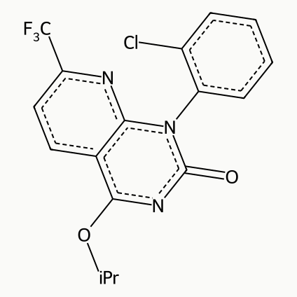 CC(C)Oc1nc(=O)n(-c2ccccc2Cl)c2nc(C(F)(F)F)ccc12